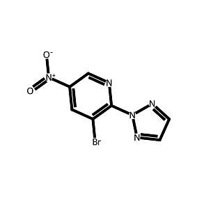 O=[N+]([O-])c1cnc(-n2nccn2)c(Br)c1